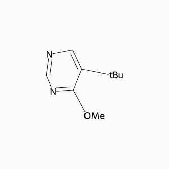 COc1ncncc1C(C)(C)C